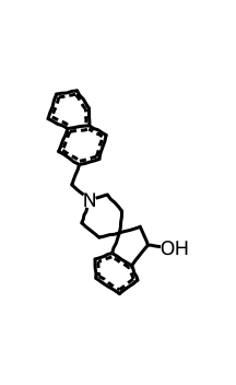 OC1CC2(CCN(Cc3ccc4ccccc4c3)CC2)c2ccccc21